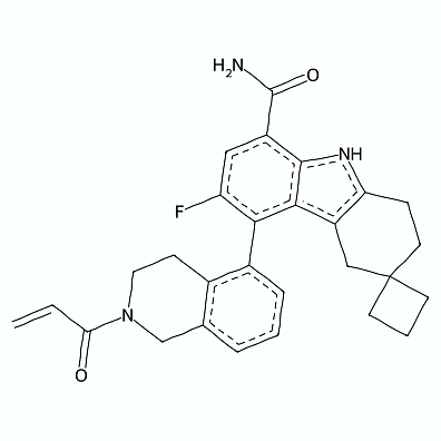 C=CC(=O)N1CCc2c(cccc2-c2c(F)cc(C(N)=O)c3[nH]c4c(c23)CC2(CCC2)CC4)C1